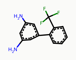 Nc1cc(N)cc(-c2ccccc2C(F)(F)F)c1